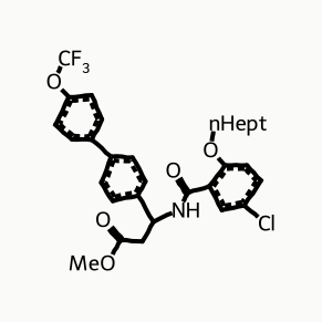 CCCCCCCOc1ccc(Cl)cc1C(=O)NC(CC(=O)OC)c1ccc(-c2ccc(OC(F)(F)F)cc2)cc1